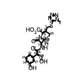 Cn1nnnc1SCC1=C(C(=O)O)N2C(=O)C(NC(=O)C(=NO)c3cccc(O)c3)[C@@H]2SC1